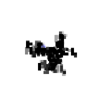 CN/C(CNC(=O)c1ccc(C(CC(C)(C)C)Sc2cc(C)c(-c3ccc(C(F)(F)F)cc3)c(C)c2)s1)=N\N